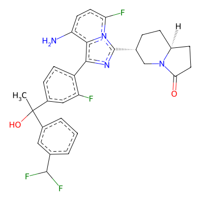 CC(O)(c1cccc(C(F)F)c1)c1ccc(-c2nc([C@@H]3CC[C@H]4CCC(=O)N4C3)n3c(F)ccc(N)c23)c(F)c1